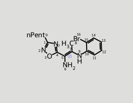 CCCCCc1noc(/C(N)=C(\C)Nc2ccccc2Br)n1